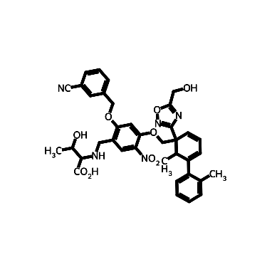 Cc1ccccc1C1=CC=CC(COc2cc(OCc3cccc(C#N)c3)c(CNC(C(=O)O)C(C)O)cc2[N+](=O)[O-])(c2noc(CO)n2)C1C